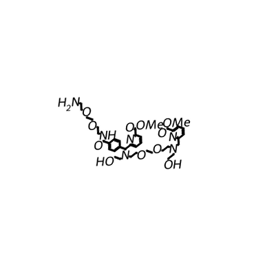 COC(=O)c1cccc(CN(CCO)CCOCCOCCN(CCO)C(c2ccc(C(=O)NCCOCCOCCN)cc2)c2cccc(C(=O)OC)n2)n1